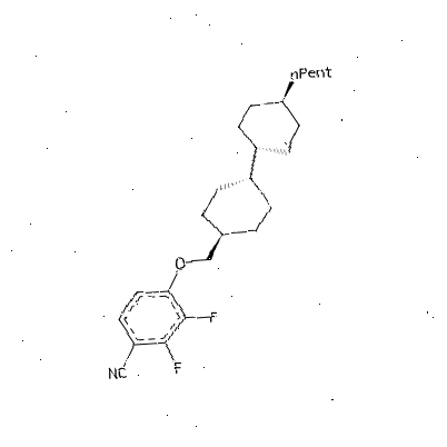 CCCCC[C@H]1CC[C@H]([C@H]2CC[C@H](COc3ccc(C#N)c(F)c3F)CC2)CC1